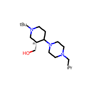 CC(C)CN1CCN(C2CCN(C(C)(C)C)C[C@H]2CO)CC1